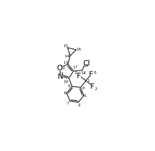 FC(F)(F)c1ccccc1-c1noc(C2CC2)c1CCl